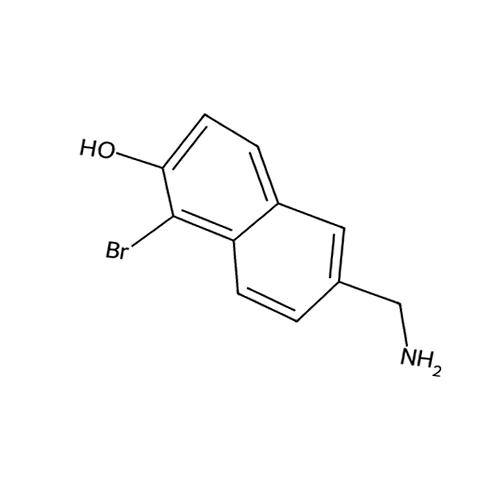 NCc1ccc2c(Br)c(O)ccc2c1